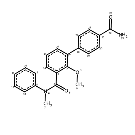 COc1c(C(=O)N(C)c2ccccc2)cccc1-c1ccc(C(N)=O)cc1